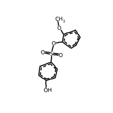 COc1ccccc1OS(=O)(=O)c1ccc(O)cc1